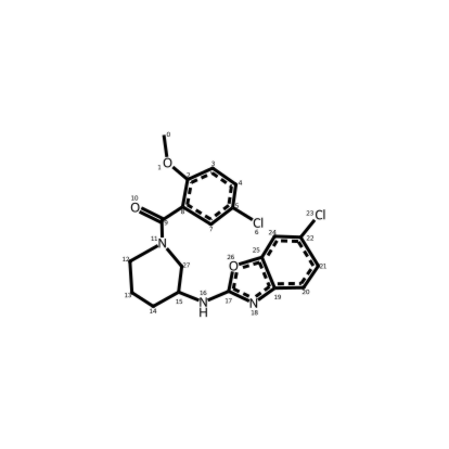 COc1ccc(Cl)cc1C(=O)N1CCCC(Nc2nc3ccc(Cl)cc3o2)C1